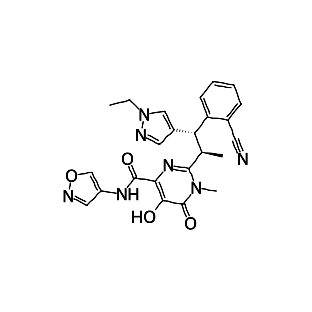 CCn1cc([C@H](c2ccccc2C#N)[C@@H](C)c2nc(C(=O)Nc3cnoc3)c(O)c(=O)n2C)cn1